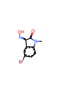 CN1C(=O)C(=NO)c2cc(Br)ccc21